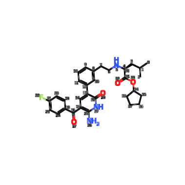 CC(C)C[C@H](NCCc1cccc(-c2cc(C(=O)c3ccc(F)cc3)c(N)[nH]c2=O)c1)C(=O)OC1CCCC1